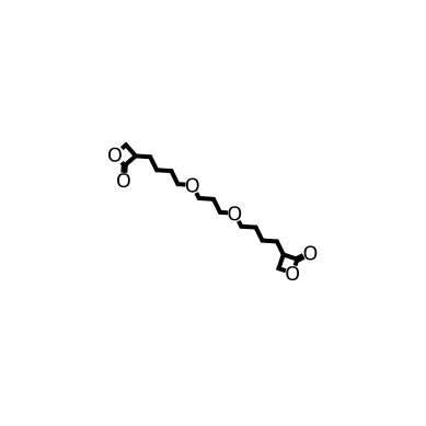 O=C1OCC1CCCCOCCCOCCCCC1COC1=O